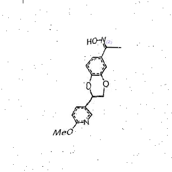 COc1ccc(C2COc3cc(/C(C)=N\O)ccc3O2)cn1